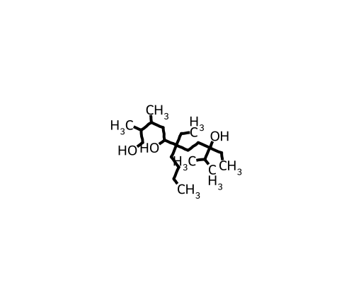 CCCCC(CC)(CCC(O)(CC)C(C)C)C(O)CC(C)C(C)CO